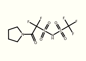 O=C(N1CCCC1)C(F)(F)S(=O)(=O)NS(=O)(=O)C(F)(F)F